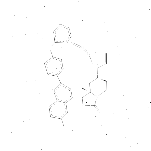 C=C[C@@H](CN=[N+]=[N-])[C@H]1CCN2C(=O)S[C@H](c3cc(-c4ccc(Oc5ccccc5)cc4)nc4ccc(C)cc34)[C@@H]2C1